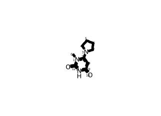 Cn1c(N2CCCC2)cc(=O)[nH]c1=O